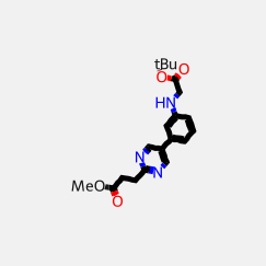 COC(=O)CCc1ncc(-c2cccc(NCC(=O)OC(C)(C)C)c2)cn1